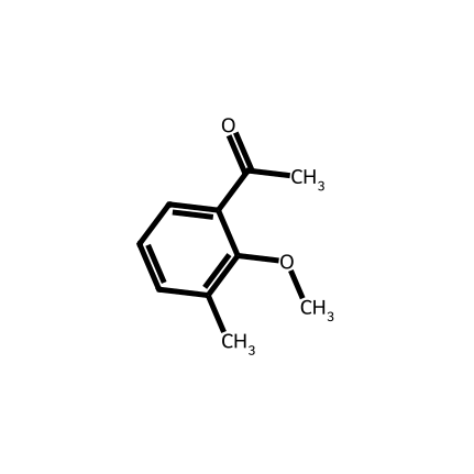 COc1c(C)cccc1C(C)=O